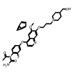 COc1cc2c(Oc3ccc(N(C(C)=O)C(N)=O)c(F)c3)ccnc2cc1OCCCN1CCC(CO)CC1.c1cc2cc-2c1